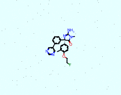 Cc1cc([C@]2(c3cccc(-c4cncnc4)c3)N=C(N)N(C)C2=O)ccc1OCCF